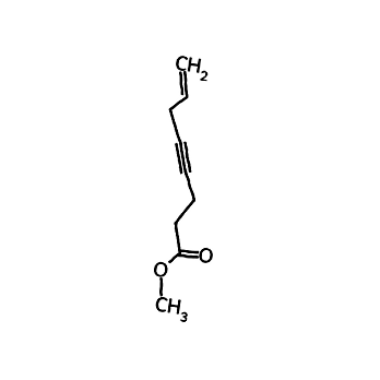 C=CCC#CCCC(=O)OC